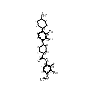 CCCC1CCC(c2ccc(C3CCC(C(=O)Oc4ccc(OCC)c(F)c4F)CC3)c(F)c2F)CC1